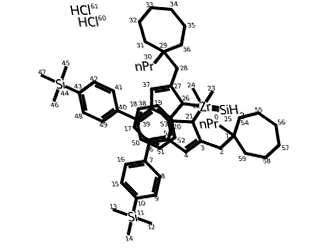 CCCC1(CC2=Cc3c(-c4ccc([Si](C)(C)C)cc4)cccc3[CH]2[Zr]([CH3])([CH3])(=[SiH2])[CH]2C(CC3(CCC)CCCCCC3)=Cc3c(-c4ccc([Si](C)(C)C)cc4)cccc32)CCCCCC1.Cl.Cl